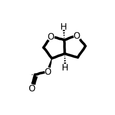 O=[C]O[C@H]1CO[C@H]2OCC[C@H]21